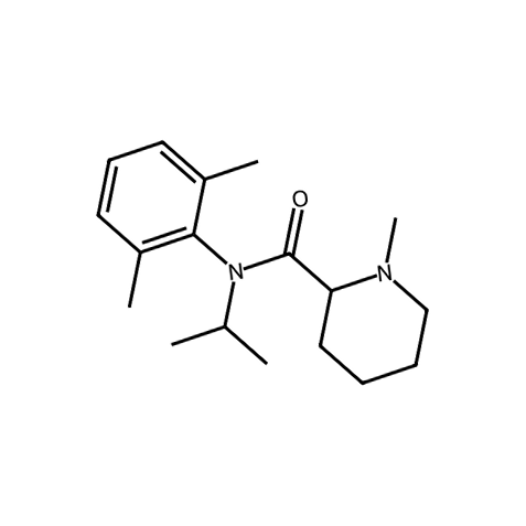 Cc1cccc(C)c1N(C(=O)C1CCCCN1C)C(C)C